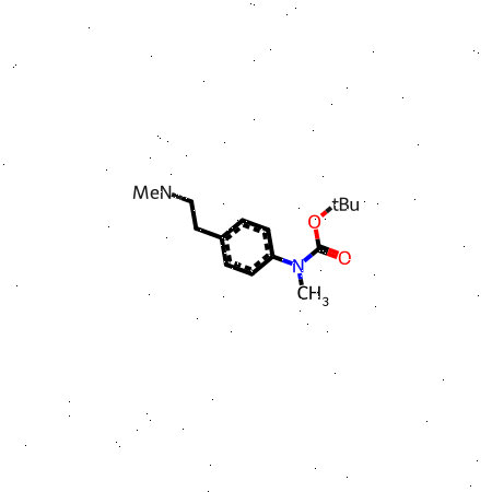 CNCCc1ccc(N(C)C(=O)OC(C)(C)C)cc1